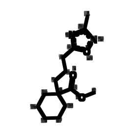 COC(=O)C1(CCCc2nc(C)no2)CCCCC1